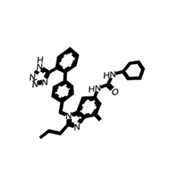 CCCc1nc2c(C)cc(NC(=O)NC3CCCCC3)cc2n1Cc1ccc(-c2ccccc2-c2nnn[nH]2)cc1